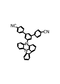 N#Cc1ccc(-c2cc(-c3ccc(C#N)cc3)cc(N3c4ccccc4-n4c5ccccc5c5cccc3c54)c2)cc1